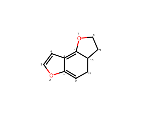 C1=c2occc2=C2OCCC2C1